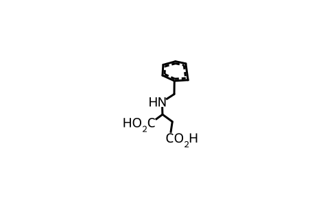 O=C(O)CC(NCc1ccccc1)C(=O)O